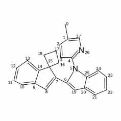 Cc1ccc(-n2c(C3=Cc4ccccc4C34CCC4)cc3ccccc32)nc1